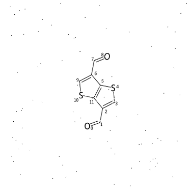 O=Cc1csc2c(C=O)csc12